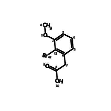 COc1cccc(CC(=O)O)c1Br